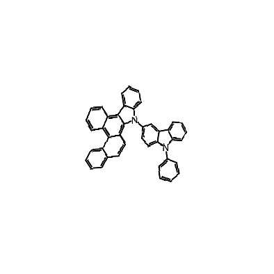 c1ccc(-n2c3ccccc3c3cc(-n4c5ccccc5c5c6ccccc6c6c7ccccc7ccc6c54)ccc32)cc1